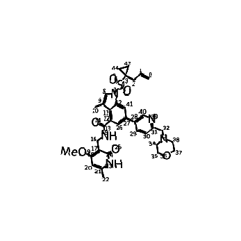 C=CCC1(S(=O)(=O)n2cc(C)c3c(C(=O)NCc4c(OC)cc(C)[nH]c4=O)cc(-c4ccc(CN5CCOCC5)nc4)cc32)CC1